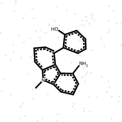 Cn1c2cccc(N)c2c2c(-c3ccccc3O)cccc21